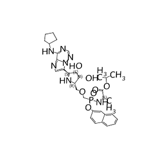 CC(C)OC(=O)[C@H](C)NP(=O)(COC[C@H]1N[C@@H](c2cnc3c(NC4CCCC4)ncnn23)[C@H](O)[C@@H]1O)Oc1ccc2ccccc2c1